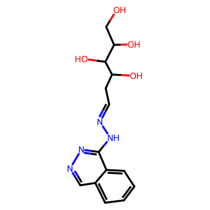 OCC(O)C(O)C(O)C/C=N/Nc1nncc2ccccc12